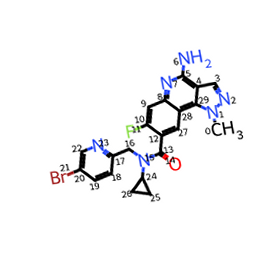 Cn1ncc2c(N)nc3cc(F)c(C(=O)N(Cc4ccc(Br)cn4)C4CC4)cc3c21